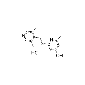 Cc1cc(O)nc(SCc2c(C)cncc2C)n1.Cl